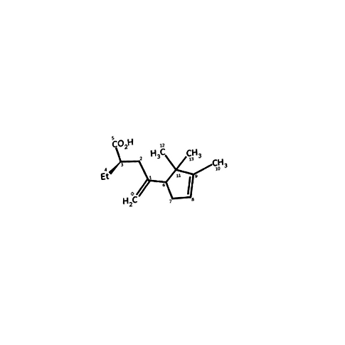 C=C(C[C@@H](CC)C(=O)O)C1CC=C(C)C1(C)C